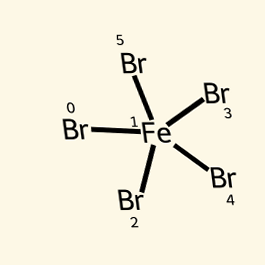 [Br][Fe]([Br])([Br])([Br])[Br]